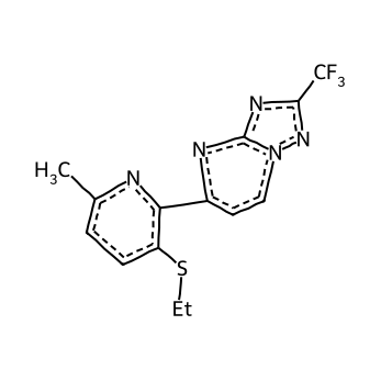 CCSc1ccc(C)nc1-c1ccn2nc(C(F)(F)F)nc2n1